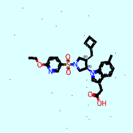 CCOc1ccc(S(=O)(=O)N2C[C@@H](CC3CCC3)[C@@H](n3cc(CC(=O)O)c4ccc(C)cc43)C2)cn1